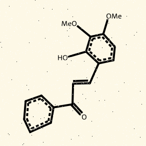 COc1ccc(C=CC(=O)c2ccccc2)c(O)c1OC